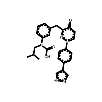 CC(C)CN(C(=O)O)c1cccc(Cc2nn(-c3ccc(-c4cn[nH]c4)cc3)ccc2=O)c1